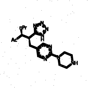 CCC[C@H](C(C)=O)[C@H](Cc1cnc(N2CCNCC2)nc1)c1nnn[nH]1